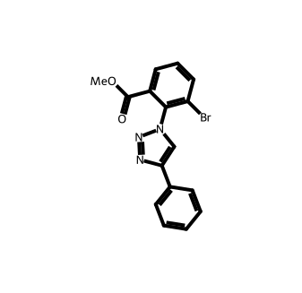 COC(=O)c1cccc(Br)c1-n1cc(-c2ccccc2)nn1